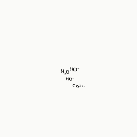 O.[Co+2].[OH-].[OH-]